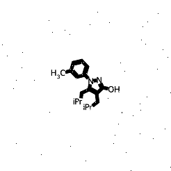 Cc1cccc(-n2nc(O)c(CC(C)C)c2CC(C)C)c1